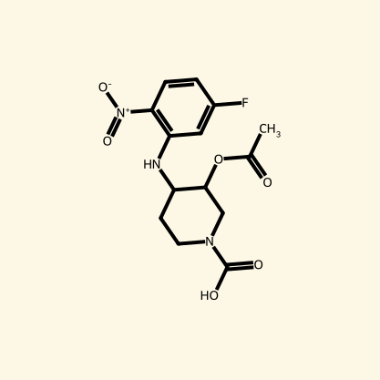 CC(=O)OC1CN(C(=O)O)CCC1Nc1cc(F)ccc1[N+](=O)[O-]